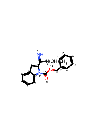 CN(O)C(=N)C1Cc2ccccc2N1C(=O)OCc1ccccc1